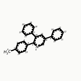 Cc1ccc(-c2ncc(-c3ccccc3)[c]c2-c2ccccc2)cc1